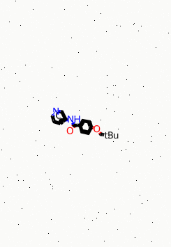 CC(C)(C)COc1ccc(C(=O)NC2CN3CCC2CC3)cc1